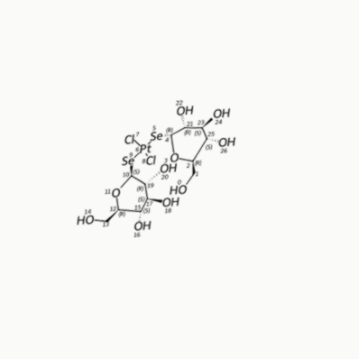 OC[C@H]1O[C@H]([Se][Pt]([Cl])([Cl])[Se][C@@H]2O[C@H](CO)[C@@H](O)[C@H](O)[C@H]2O)[C@H](O)[C@@H](O)[C@@H]1O